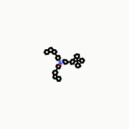 c1ccc(C2(c3ccccc3)c3ccccc3-c3cc(-c4ccc(N(c5ccc(-c6ccc7ccc8ccccc8c7c6)cc5)c5ccc(-c6ccc7ccc8ccccc8c7c6)cc5)cc4)ccc32)cc1